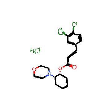 Cl.O=C(C=Cc1ccc(Cl)c(Cl)c1)O[C@@H]1CCCC[C@H]1N1CCOCC1